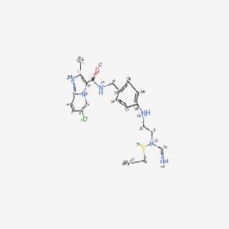 CCc1nc2ccc(Cl)cn2c1C(=O)NCc1ccc(NCCN(C=N)SCC(C)C)cc1